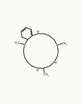 CC1CNCCN(C)CCCNC2=CC=CCC2N(C)CCCCN1